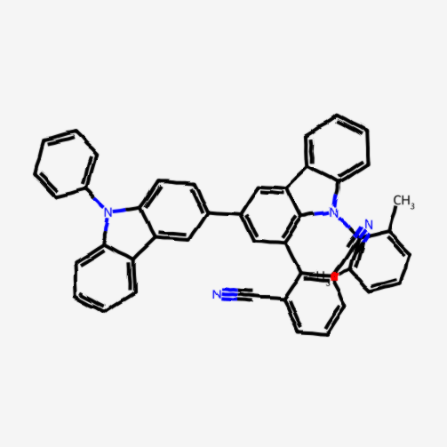 Cc1cccc(C)c1-n1c2ccccc2c2cc(-c3ccc4c(c3)c3ccccc3n4-c3ccccc3)cc(-c3c(C#N)cccc3C#N)c21